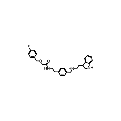 O=C(COCc1ccc(F)cc1)NCCc1ccc(CNCCC2CNc3ccccc32)cc1